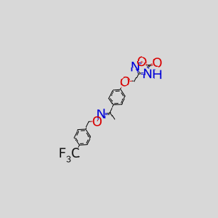 C/C(=N\OCc1ccc(C(F)(F)F)cc1)c1ccc(OCc2noc(=O)[nH]2)cc1